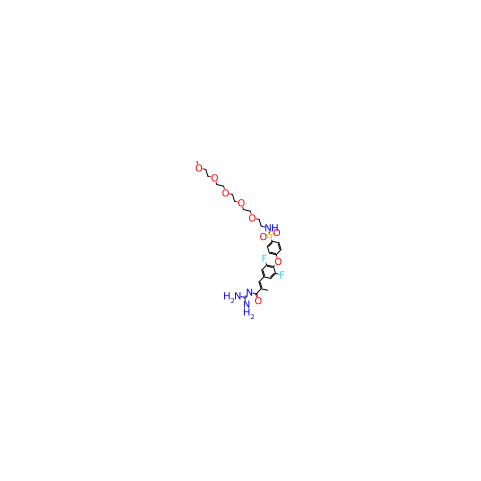 COCCOCCOCCOCCOCCNS(=O)(=O)c1ccc(Oc2c(F)cc(/C=C(\C)C(=O)N=C(N)N)cc2F)cc1